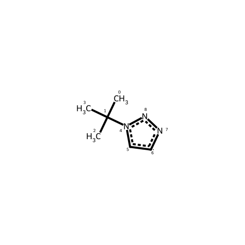 CC(C)(C)n1c[c]nn1